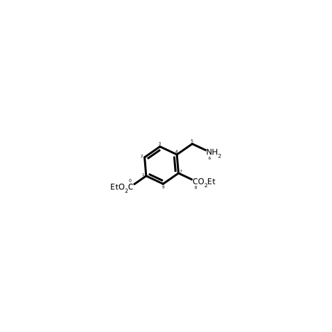 CCOC(=O)c1ccc(CN)c(C(=O)OCC)c1